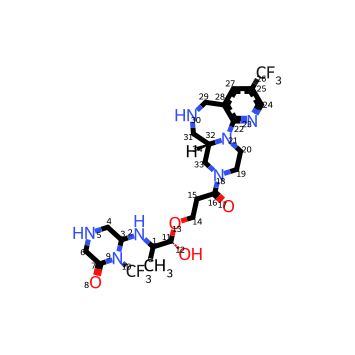 CC(NC1CNCC(=O)N1C(F)(F)F)[C@@H](O)OCCC(=O)N1CCN2c3ncc(C(F)(F)F)cc3CNC[C@H]2C1